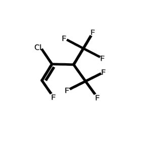 F/C=C(/Cl)C(C(F)(F)F)C(F)(F)F